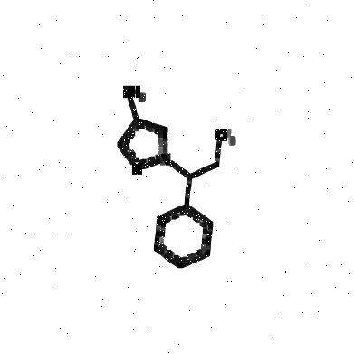 Bc1cnn(C(CC(F)(F)F)c2ccccc2)c1